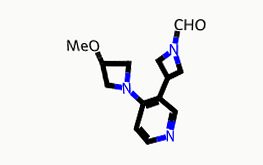 COC1CN(c2ccncc2C2CN(C=O)C2)C1